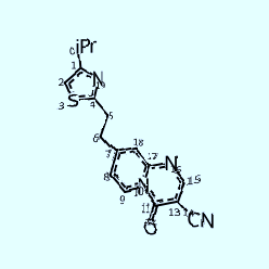 CC(C)c1csc(CCc2ccn3c(=O)c(C#N)cnc3c2)n1